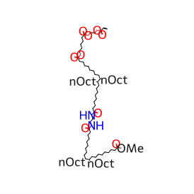 C=CC(=O)OCCOC(=O)CCCCCOC(=O)CCCCCCCCC(CCCCCCCC)C(CCCCCCCC)CCCCCCCCC(=O)NCCNC(=O)CCCCCCCCC(CCCCCCCC)C(CCCCCCCC)CCCCCCCCC(=O)OC